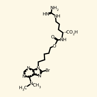 CN(C)c1ncnc2c1nc(Br)n2CCCCCOC(=O)N[C@H](CCCNC(=N)N)C(=O)O